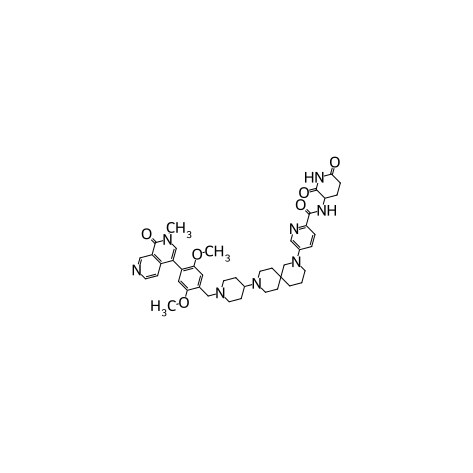 COc1cc(-c2cn(C)c(=O)c3cnccc23)c(OC)cc1CN1CCC(N2CCC3(CCCN(c4ccc(C(=O)NC5CCC(=O)NC5=O)nc4)C3)CC2)CC1